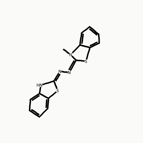 Cn1c(=NN=c2[nH]c3ccccc3s2)sc2ccccc21